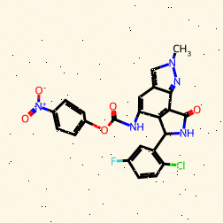 Cn1cc2cc(NC(=O)Oc3ccc([N+](=O)[O-])cc3)c3c(c2n1)C(=O)NC3c1cc(F)ccc1Cl